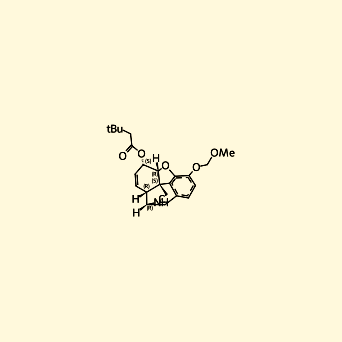 COCOc1ccc2c3c1O[C@H]1[C@@H](OC(=O)CC(C)(C)C)C=C[C@H]4[C@@H](C2)NCC[C@@]341